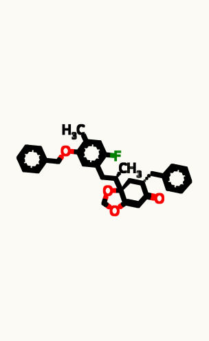 Cc1cc(F)c(C[C@H](C)[C@]23C[C@H](Cc4ccccc4)C(=O)C=C2OCO3)cc1OCc1ccccc1